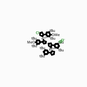 CC(C)(C)c1cc(C2=[C]([Zr+2][C]3=C(c4cc(C(C)(C)C)cc(C(C)(C)C)c4)C=CC3)CC=C2)cc(C(C)(C)C)c1.COc1c(C(C)(C)C)cc(C2=[C]([Zr+2][C]3=C(c4cc(C(C)(C)C)c(OC)c(C(C)(C)C)c4)C=CC3)CC=C2)cc1C(C)(C)C.[Cl-].[Cl-].[Cl-].[Cl-]